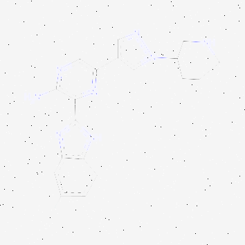 Nc1ncc(-c2cnn(C3CCCNC3)c2)nc1-c1nc2cc(F)ccc2[nH]1